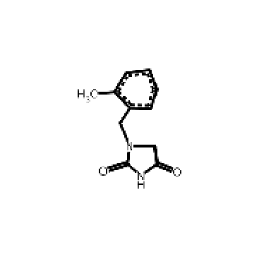 Cc1ccccc1CN1CC(=O)NC1=O